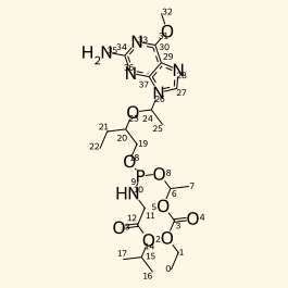 CCOC(=O)OC(C)OP(NCC(=O)OC(C)C)OCC(CC)OC(C)n1cnc2c(OC)nc(N)nc21